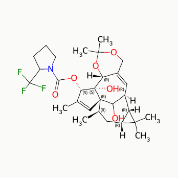 CC1=C[C@]23C(O)[C@@H](C=C4COC(C)(C)O[C@H]4[C@]2(O)[C@H]1OC(=O)N1CCCC1C(F)(F)F)[C@H]1[C@@H](C[C@H]3C)C1(C)C